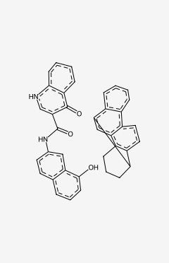 O=C(Nc1ccc2cccc(O)c2c1)c1c[nH]c2ccccc2c1=O.c1ccc2c(c1)c1cc3c4c(ccc32)C1CCC4